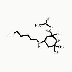 CC(Br)Br.CCCCCCNC1CC(C)(C)NC(C)(C)C1